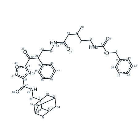 CC(CCNC(=O)OCc1ccccc1)CC(=O)NCCC(C(=O)c1nc(C(=O)NCC23CC4CC(CC(C4)C2)C3)co1)c1ccccc1